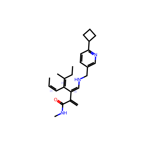 C=C(C(=O)NC)C(=C/NCc1ccc(C2CCC2)nc1)/C(/C=C\C)=C(/C)CC